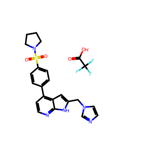 O=C(O)C(F)(F)F.O=S(=O)(c1ccc(-c2ccnc3[nH]c(Cn4ccnc4)cc23)cc1)N1CCCC1